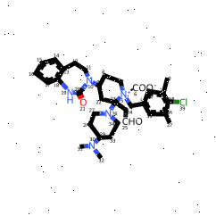 Cc1cc(C[N@+]2(C(=O)[O-])CCC(N3CCc4ccccc4NC3=O)CC2(CC=O)N2CCC(N(C)C)CC2)cc(C)c1Cl